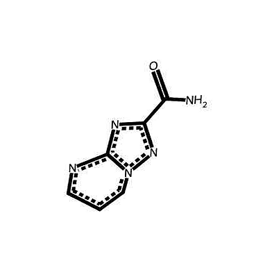 NC(=O)c1nc2ncccn2n1